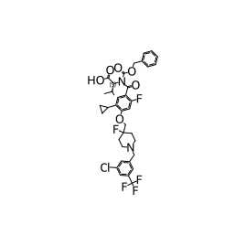 CC(C)[C@@H](C(=O)O)N(C(=O)OCc1ccccc1)C(=O)c1cc(C2CC2)c(OCC2(F)CCN(Cc3cc(Cl)cc(C(F)(F)F)c3)CC2)cc1F